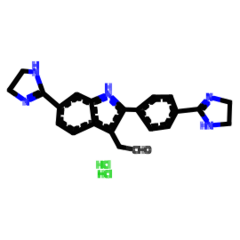 Cl.Cl.O=CCc1c(-c2ccc(C3=NCCN3)cc2)[nH]c2cc(C3=NCCN3)ccc12